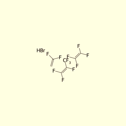 Br.C=C(F)F.FC(F)=C(F)C(F)(F)F.FC(F)=C(F)F